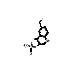 CS(=O)(=O)Oc1c[nH]c2ccc(CF)cc2c1=O